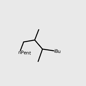 [CH2]CCCCCC(C)C(C)C(C)CC